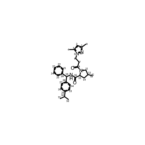 Cc1cc(C)n(CCC(=O)N2CC(F)CC2C(=O)NC(c2ccccc2)c2ccc(C(C)C)cc2)n1